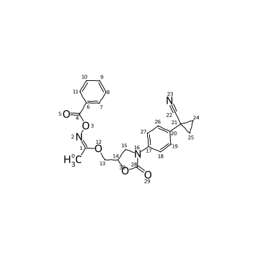 CC(=NOC(=O)c1ccccc1)OCC1CN(c2ccc(C3(C#N)CC3)cc2)C(=O)O1